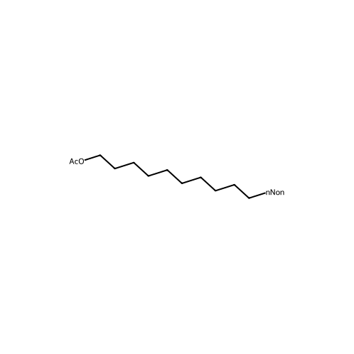 CCCCCCCCCCCCCCCCCCCOC(C)=O